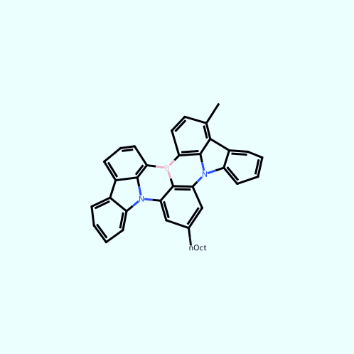 CCCCCCCCc1cc2c3c(c1)-n1c4ccccc4c4c(C)ccc(c41)B3c1cccc3c4ccccc4n-2c13